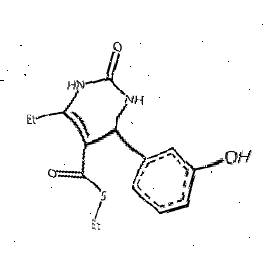 CCSC(=O)C1=C(CC)NC(=O)NC1c1cccc(O)c1